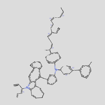 C=C/C=C(\C=C)n1c2c(c3c(-c4cccc(N(c5ccc(/C(C)=C/C=C(C=C)/C=C/C=C\C=C/C)cc5)C(C)/C=C\C(=C/C)c5cccc(C)c5)c4)c4ccccc4cc31)C=CCC=C2